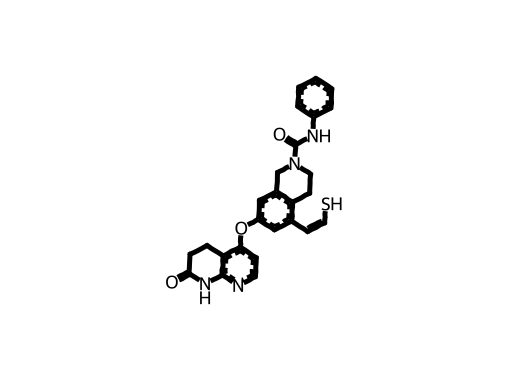 O=C1CCc2c(Oc3cc(/C=C\S)c4c(c3)CN(C(=O)Nc3ccccc3)CC4)ccnc2N1